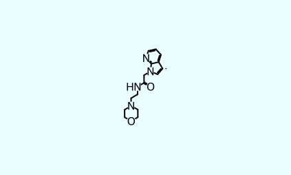 O=C(Cn1c[c]c2cccnc21)NCCN1CCOCC1